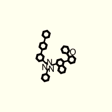 c1ccc(-c2ccc(-c3cccc(-c4nc(-c5ccccc5)nc(-c5ccc(-c6cccc7oc8ccccc8c67)c6ccccc56)n4)c3)cc2)cc1